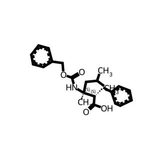 CC(C)C[C@](C)(NC(=O)OCc1ccccc1)[C@H](Cc1ccccc1)C(=O)O